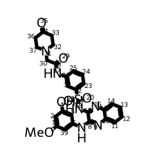 COc1cc(O)cc(Nc2nc3ccccc3nc2NS(=O)(=O)c2cccc(NC(=O)CN3CCC(=O)CC3)c2)c1